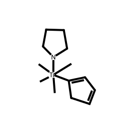 [CH3][Ti]([CH3])([CH3])([CH3])([C]1=CC=CC1)[N]1CCCC1